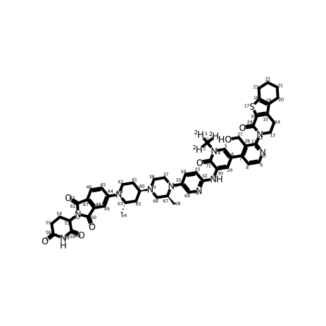 [2H]C([2H])([2H])n1cc(-c2ccnc(N3CCc4c(sc5c4CCCC5)C3=O)c2CO)cc(Nc2ccc(N3CCN([C@@H]4CCN(c5ccc6c(c5)C(=O)N(C5CCC(=O)NC5=O)C6=O)[C@@H](C)C4)C[C@@H]3C)cn2)c1=O